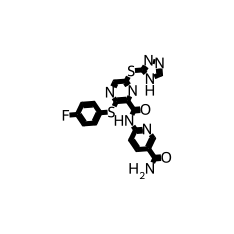 NC(=O)c1ccc(NC(=O)c2nc(Sc3nnc[nH]3)cnc2Sc2ccc(F)cc2)nc1